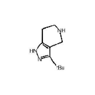 CC(C)(C)c1n[nH]c2c1CNCC2